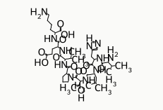 CC(C)CC(NC(=O)C(Cc1cnc[nH]1)NC(=O)C(N)C(C)C)C(=O)NC(C(=O)N1CCCC1C(=O)NC(C(=O)NC(CCC(=O)O)C(=O)NC(CCCCN)C(=O)O)C(C)C)C(C)O